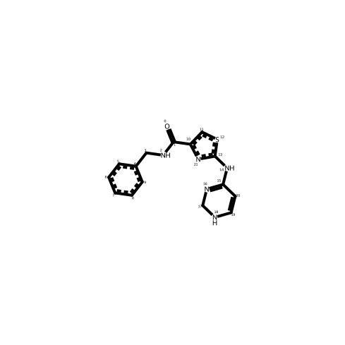 O=C(NCc1ccccc1)c1csc(NC2=NCNC=C2)n1